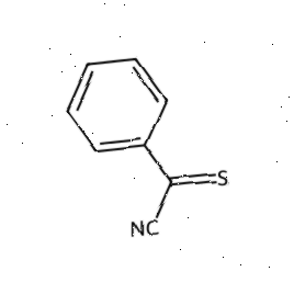 N#CC(=S)c1ccccc1